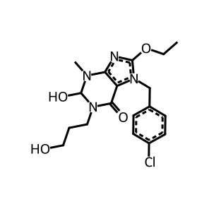 CCOc1nc2c(n1Cc1ccc(Cl)cc1)C(=O)N(CCCO)C(O)N2C